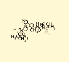 Cc1cc(-c2ccncc2N2CCCC(N(C)C(=O)OC(C)(C)C)C2)ccc1CNC(=O)c1noc(C(C)(C)C)n1